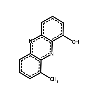 Cc1cccc2nc3cccc(O)c3nc12